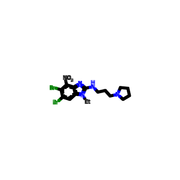 CCn1c(NCCCN2CCCC2)nc2c([N+](=O)[O-])c(Br)c(Br)cc21